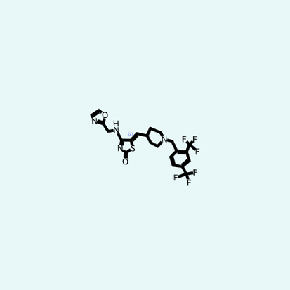 O=C1N=C(NCc2ncco2)/C(=C/C2CCN(Cc3ccc(C(F)(F)F)cc3C(F)(F)F)CC2)S1